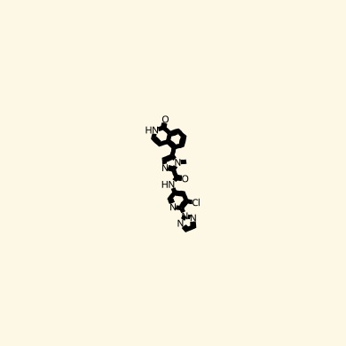 Cn1c(-c2cccc3c(=O)[nH]ccc23)cnc1C(=O)Nc1cnc(-n2nccn2)c(Cl)c1